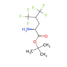 CC(C)(C)OC(=O)[C@@H](N)CC(C(F)(F)F)C(F)(F)F